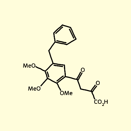 COc1c(Cc2ccccc2)cc(C(=O)CC(=O)C(=O)O)c(OC)c1OC